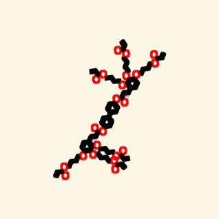 C=CC(=O)OCCCCOc1ccc(/C=C/C(=O)Oc2ccc(-c3ccc(OC(=O)/C=C/c4ccc(OCCCCOC(=O)C=C)c(OCCCCOC(=O)C=C)c4OCCCCOC(=O)C=C)cc3)cc2)c(OCCCCOC(=O)C=C)c1OCCCCOC(=O)C=C